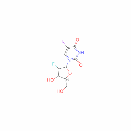 O=c1[nH]c(=O)n(C2O[C@H](CO)C(O)C2F)cc1I